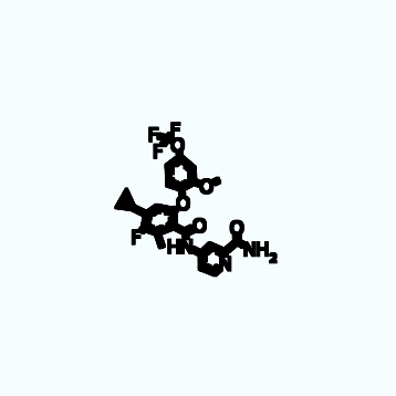 COc1cc(OC(F)(F)F)ccc1Oc1cc(C2CC2)c(F)c(C)c1C(=O)Nc1ccnc(C(N)=O)c1